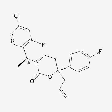 C=CCC1(c2ccc(F)cc2)CCN([C@@H](C)c2ccc(Cl)cc2F)C(=O)O1